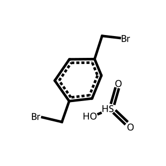 BrCc1ccc(CBr)cc1.O=[SH](=O)O